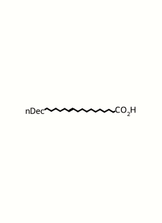 CCCCCCCCCCCCCCCC=CCCCCCCCCCC(=O)O